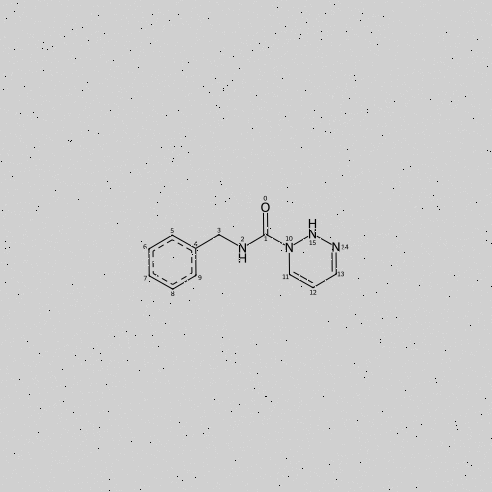 O=C(NCc1ccccc1)N1C=CC=NN1